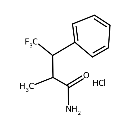 CC(C(N)=O)C(c1ccccc1)C(F)(F)F.Cl